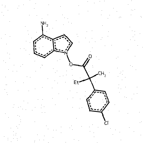 CCC(C)(C(=O)On1ccc2c(N)cccc21)c1ccc(Cl)cc1